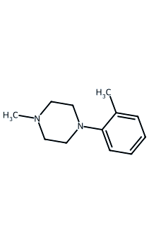 Cc1ccccc1N1CCN(C)CC1